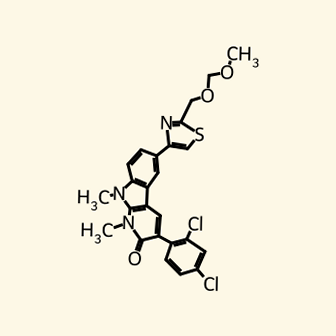 COCOCc1nc(-c2ccc3c(c2)c2cc(-c4ccc(Cl)cc4Cl)c(=O)n(C)c2n3C)cs1